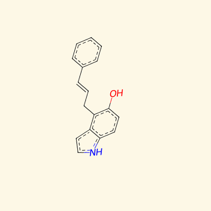 Oc1ccc2[nH]ccc2c1C/C=C/c1ccccc1